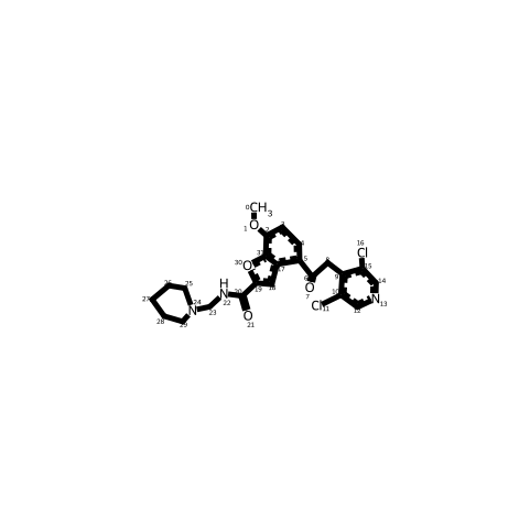 COc1ccc(C(=O)Cc2c(Cl)cncc2Cl)c2cc(C(=O)NCN3CCCCC3)oc12